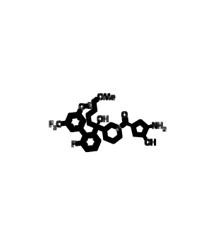 CCOc1cc(-c2c(F)cccc2[C@@](O)(CCCCOC)C2CCCN(C(=O)[C@H]3C[C@@H](N)[C@@H](O)C3)C2)cc(C(F)(F)F)c1